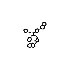 c1ccc(-c2nc(-c3ccc(-c4ccc5ccccc5c4)cc3)c3c(n2)-c2ccccc2-n2c4cc(ccc4c4ccc5ccccc5c42)C3)cc1